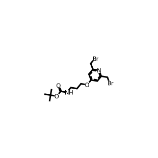 CC(C)(C)OC(=O)NCCCOc1cc(CBr)nc(CBr)c1